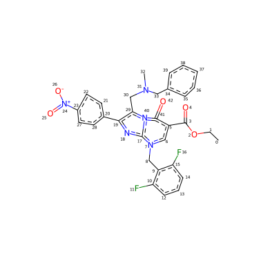 CCOC(=O)c1cn(Cc2c(F)cccc2F)c2nc(-c3ccc([N+](=O)[O-])cc3)c(CN(C)Cc3ccccc3)n2c1=O